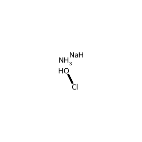 N.OCl.[NaH]